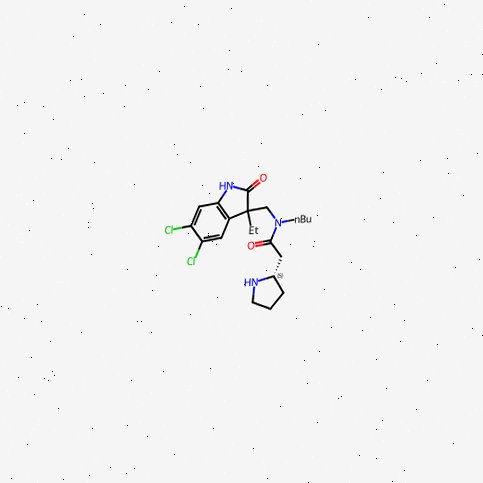 CCCCN(CC1(CC)C(=O)Nc2cc(Cl)c(Cl)cc21)C(=O)C[C@@H]1CCCN1